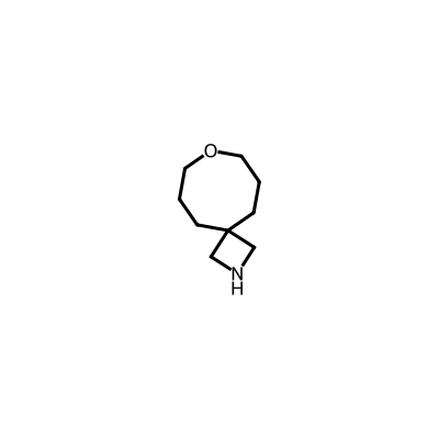 C1COCCCC2(C1)CNC2